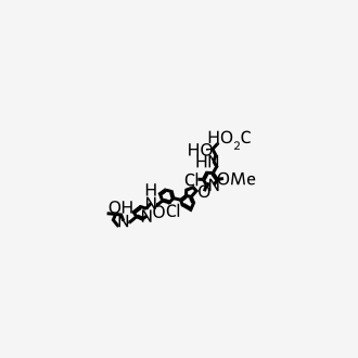 COc1nc(O[C@H]2CCc3c(-c4cccc(C(=O)Nc5ccc(CN6CCC(C)(O)C6)cn5)c4Cl)cccc32)c(Cl)cc1CNC[C@@H](O)CC(=O)O